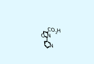 O=C(O)c1coc(-c2cccnc2)n1